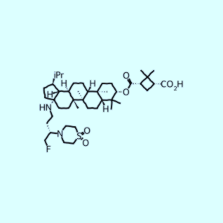 CC(C)[C@@H]1CC[C@]2(NCC[C@@H](CF)N3CCS(=O)(=O)CC3)CC[C@]3(C)[C@H](CC[C@@H]4[C@@]5(C)CC[C@H](OC(=O)[C@H]6C[C@@H](C(=O)O)C6(C)C)C(C)(C)[C@@H]5CC[C@]43C)[C@@H]12